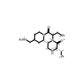 CC(=O)NCC1CCN(C(=O)C(CC(C)C)N2CCN[C@@H](CC(C)C)C2=O)CC1